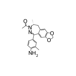 CC(=O)N1N=C(c2ccc(N)c(C)c2)c2cc3c(cc2C[C@H]1C)OCO3